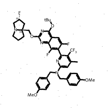 COc1ccc(CN(Cc2ccc(OC)cc2)c2cc(C)c(C(F)(F)F)c(-c3c(F)cc4c(OC(C)(C)C)nc(OC[C@@]56CCCN5C[C@H](F)C6)nc4c3F)n2)cc1